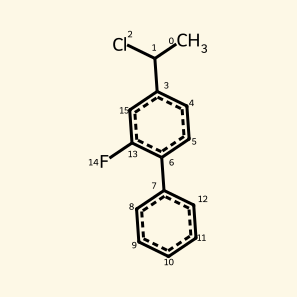 CC(Cl)c1ccc(-c2ccccc2)c(F)c1